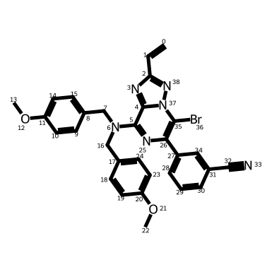 C=Cc1nc2c(N(Cc3ccc(OC)cc3)Cc3ccc(OC)cc3)nc(-c3cccc(C#N)c3)c(Br)n2n1